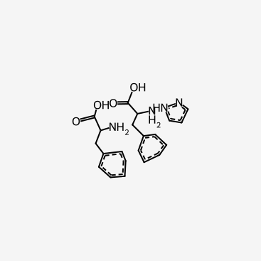 NC(Cc1ccccc1)C(=O)O.NC(Cc1ccccc1)C(=O)O.c1cn[nH]c1